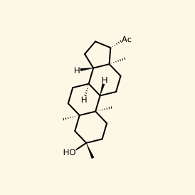 CC(=O)[C@H]1CC[C@H]2[C@@H]3CC[C@]4(C)C[C@@](C)(O)CC[C@]4(C)[C@H]3CC[C@]12C